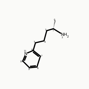 C[C@H](N)CCCc1ccccn1